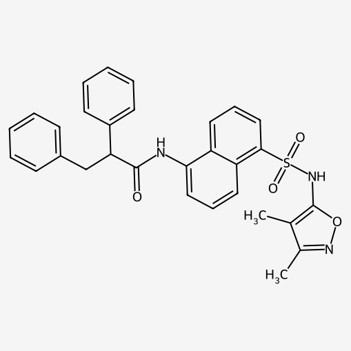 Cc1noc(NS(=O)(=O)c2cccc3c(NC(=O)C(Cc4ccccc4)c4ccccc4)cccc23)c1C